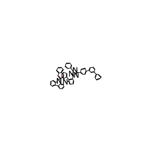 c1ccc(-c2cccc(-c3ccc(-c4nc(-c5ccccc5)nc(-c5cccc6c5c5ccccc5n6-c5cccc6c7ccccc7n(-c7ccc8ccccc8c7)c56)n4)cc3)c2)cc1